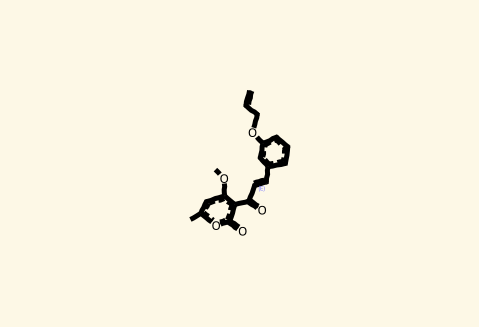 C=CCOc1cccc(/C=C/C(=O)c2c(OC)cc(C)oc2=O)c1